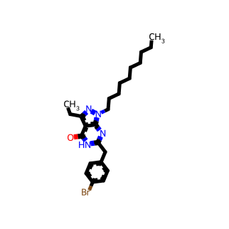 CCCCCCCCCCn1nc(CC)c2c(=O)[nH]c(Cc3ccc(Br)cc3)nc21